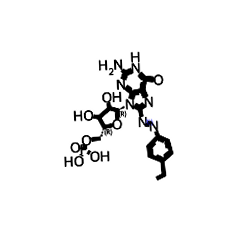 CCc1ccc(/N=N/c2nc3c(=O)[nH]c(N)nc3n2[C@@H]2O[C@H](COP(=O)(O)O)C(O)C2O)cc1